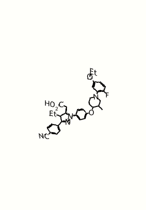 CCOc1ccc(F)c(N2CCC(Oc3ccc(N4N=C(c5ccc(C#N)cc5)C(CC)C4CC(=O)O)cc3)C(C)C2)c1